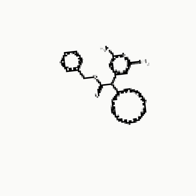 Nc1cc(C(C(=O)OCc2ccccc2)c2ccccccccc2)cc(N)n1